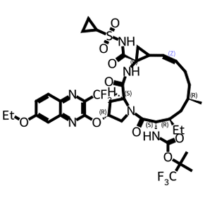 CCOc1ccc2nc(C(F)(F)F)c(O[C@@H]3C[C@H]4C(=O)N[C@]5(C(=O)NS(=O)(=O)C6CC6)CC5/C=C\CC[C@@H](C)C[C@@H](CC)[C@H](NC(=O)OC(C)(C)C(F)(F)F)C(=O)N4C3)nc2c1